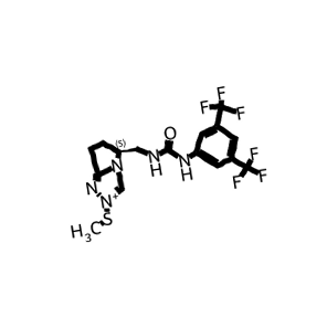 CS[n+]1cn2c(n1)CC[C@H]2CNC(=O)Nc1cc(C(F)(F)F)cc(C(F)(F)F)c1